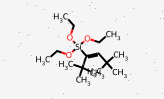 CCO[Si](OCC)(OCC)C(=CC(C)(C)C)C(C)(C)C